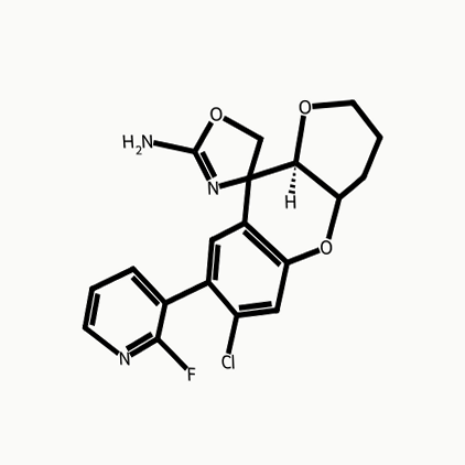 NC1=NC2(CO1)c1cc(-c3cccnc3F)c(Cl)cc1OC1CCCO[C@@H]12